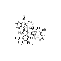 Cc1c(C)c(C)c(N(c2nc3c4ccccc4c(C#N)c(C)n3c2C)c2nc3c4ccccc4c(C#N)c(C)n3c2C)c(C)c1C